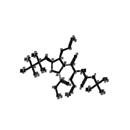 C=CC[C@H](NC(=O)OC(C)(C)C)C(=O)N1[C@H](CC=C)[C@H](O[Si](C)(C)C(C)(C)C)C[C@H]1C(=O)OC